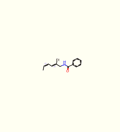 C/C=C\C=C(/CC)CNC(=O)c1ccccc1